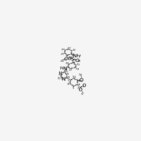 COC(=O)c1ccc(-c2cc(Nc3cccc(S(=O)(=O)Nc4ccccc4OC)c3)ncn2)cc1OC